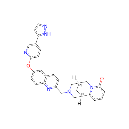 O=c1cccc2n1C[C@H]1C[C@@H]2CN(Cc2ccc3cc(Oc4ccc(-c5ccn[nH]5)cn4)ccc3n2)C1